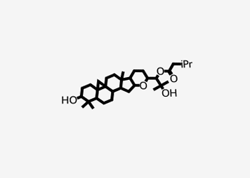 CC(C)CC(=O)OC(C1CCC2C(CC3C4CCC5C(C)(C)C(O)CCC56CC46CCC23C)O1)C(C)(C)O